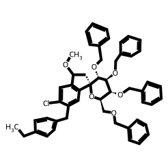 CCc1ccc(Cc2cc3c(cc2Cl)C(OC)C[C@]32O[C@H](COCc3ccccc3)[C@@H](OCc3ccccc3)[C@H](OCc3ccccc3)[C@H]2OCc2ccccc2)cc1